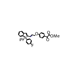 COC(=O)C(=O)c1ccc(OC/C=C/C2=Cc3ccccc3[N+]2(c2ccc(F)cc2)C(C)C)cc1